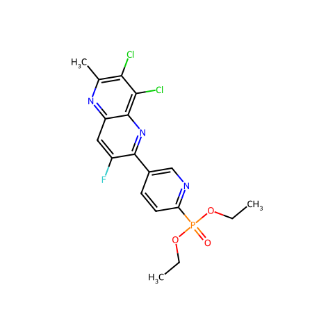 CCOP(=O)(OCC)c1ccc(-c2nc3c(Cl)c(Cl)c(C)nc3cc2F)cn1